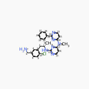 C[C@@H](Cc1cc(CN)ccc1Cl)Nc1nccc(N(C)c2ccnc(-c3ccccc3)n2)n1